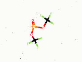 O=[PH](OC(F)(F)F)OC(F)(F)F